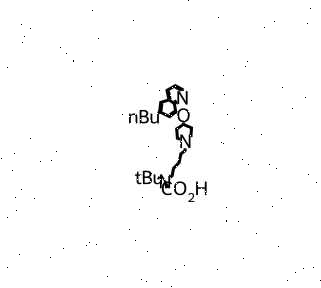 CCCCc1cc(OC2CCN(CCCCCN(C(=O)O)C(C)(C)C)CC2)c2ncccc2c1